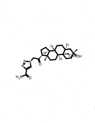 COC[C@]12CC[C@@](C)(O)C[C@@H]1CC[C@H]1[C@@H]3CC[C@H](C(=O)Cn4cc(C(N)=O)nn4)[C@@]3(C)CC[C@@H]12